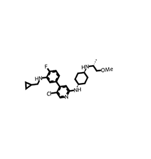 COC[C@@H](C)N[C@H]1CC[C@H](Nc2cc(-c3ccc(F)c(NCC4CC4)c3)c(Cl)cn2)CC1